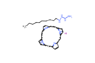 C1=Cc2cc3ccc(cc4nc(cc5ccc(cc1n2)[nH]5)C=C4)[nH]3.CCCCCCCCCCNNNN.I